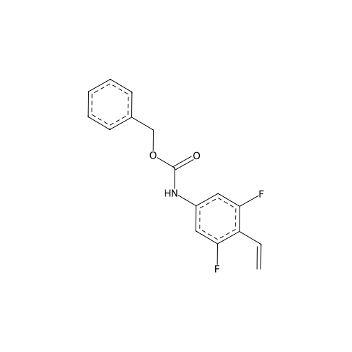 C=Cc1c(F)cc(NC(=O)OCc2ccccc2)cc1F